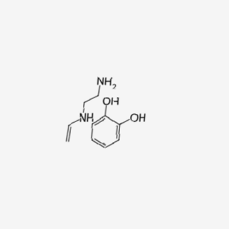 C=CNCCN.Oc1ccccc1O